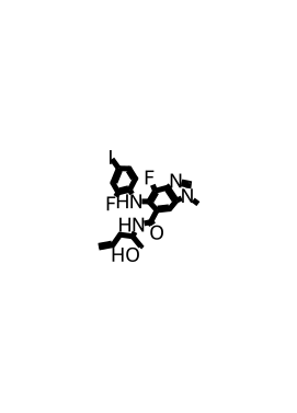 C=CCC(CO)NC(=O)c1cc2c(ncn2C)c(F)c1Nc1ccc(I)cc1F